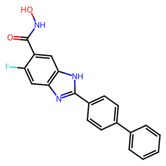 O=C(NO)c1cc2[nH]c(-c3ccc(-c4ccccc4)cc3)nc2cc1F